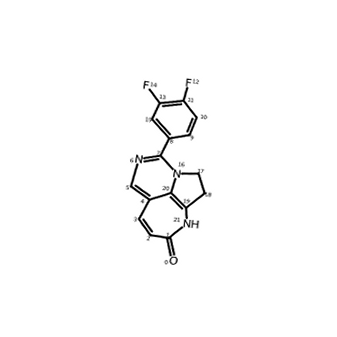 O=C1C=CC2=CN=C(c3ccc(F)c(F)c3)N3CCC(=C23)N1